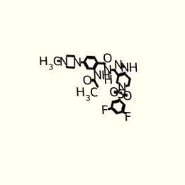 CCC(=O)Nc1cc(N2CCN(C)CC2)ccc1C(=O)Nc1n[nH]c2c1CN(S(=O)(=O)c1cc(F)cc(F)c1)CC2